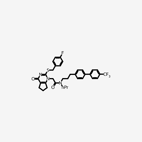 CCCN(CCCc1ccc(-c2ccc(C(F)(F)F)cc2)cc1)C(=O)Cn1c(SCc2ccc(F)cc2)nc(=O)c2c1CCC2